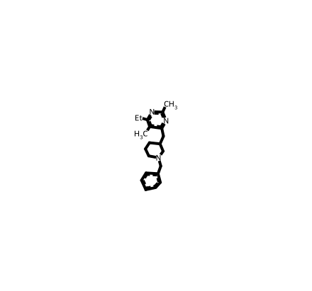 CCc1nc(C)nc(CC2CCCN(Cc3ccccc3)C2)c1C